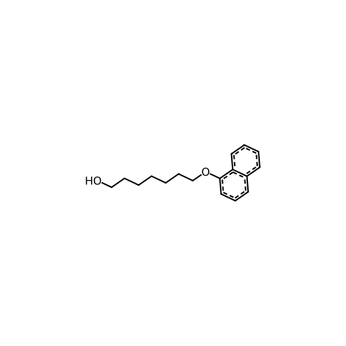 OCCCCCCCOc1cccc2ccccc12